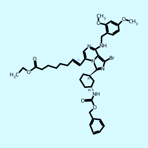 CCOC(=O)CCCCC/C=C/c1cnc(NCc2ccc(OC)cc2OC)c2c(Br)nc([C@@H]3CCC[C@@H](NC(=O)OCc4ccccc4)C3)n12